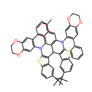 CC(C)c1cc2c3c(c1)N(c1cc4c(cc1-c1ccccc1)OCCO4)c1sc4ccc(C(C)(C)C)cc4c1B3c1c(sc3ccc(C(C)(C)C)cc13)N2c1cc2c(cc1-c1ccccc1)OCCO2